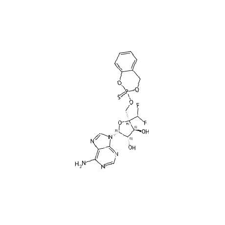 Nc1ncnc2c1ncn2[C@@H]1O[C@@](COP2(=S)OCc3ccccc3O2)(C(F)F)[C@@H](O)[C@@H]1O